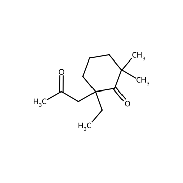 CCC1(CC(C)=O)CCCC(C)(C)C1=O